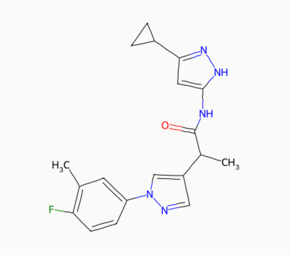 Cc1cc(-n2cc(C(C)C(=O)Nc3cc(C4CC4)n[nH]3)cn2)ccc1F